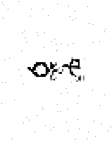 Cc1ccc(S(=O)(=O)OCC2(CO)CCC2)cc1